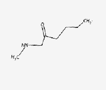 [CH2]CCCC(=O)CNC